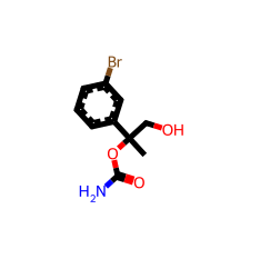 CC(CO)(OC(N)=O)c1cccc(Br)c1